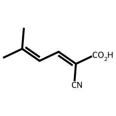 CC(C)=C/C=C(\C#N)C(=O)O